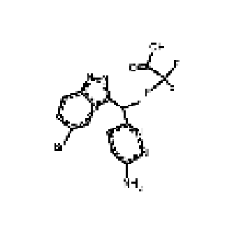 CC(c1ccc(N)nn1)c1nnc2ccc(Br)cn12.O=C(O)C(F)(F)F